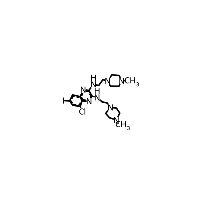 CN1CCN(CCNc2nc3cc(I)cc(Cl)c3nc2NCCN2CCN(C)CC2)CC1